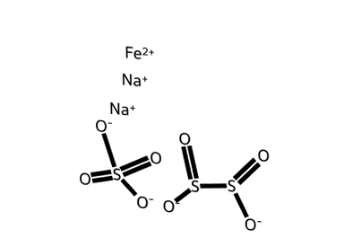 O=S(=O)([O-])[O-].O=S([O-])S(=O)[O-].[Fe+2].[Na+].[Na+]